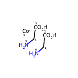 NCC(=O)O.NCC(=O)O.[Co]